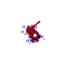 CCCCCCCCCCCCCC(=O)NCC(=O)N[C@H](C(=O)N[C@@H](CC(N)=O)C(=O)N[C@@H](CC(N)=O)C(=O)N[C@H](C(=O)N[C@@H](CCCC)C(=O)N[C@H]1CCC(=O)CNCCCC[C@@H](C(N)=O)NC(=O)[C@H](Cc2c[nH]c3ccccc23)NC(=O)[C@H](CCCNC(=N)N)NC(=O)[C@@H](Cc2ccccc2)NC(=O)[C@@H]2C[C@@H](O)CN2C1=O)C(C)O)C(C)O